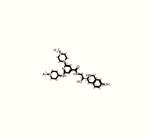 CC(=O)N1CCC(Nc2cc(C(=O)NCC(O)[C@@H]3Cc4ccc(O)cc4CN3)cc(N3CCN(C)CC3)n2)CC1